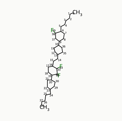 CCCCCCC1CCC(C2CCC(CCC3CCC(C4CCC(CCCCC)CC4)C(F)C3F)CC2)CC1F